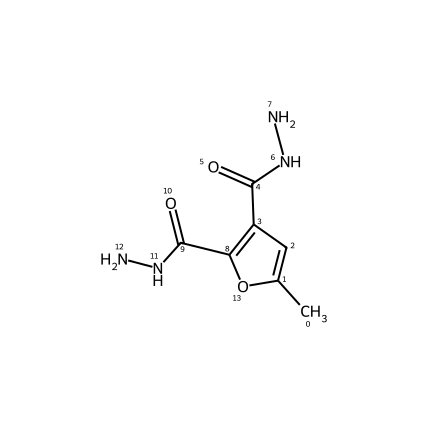 Cc1cc(C(=O)NN)c(C(=O)NN)o1